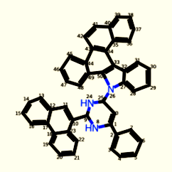 C1=C(c2ccccc2)NC(c2cc3ccccc3c3ccccc23)NC1n1c2ccccc2c2c3c4ccccc4ccc3c3ccccc3c21